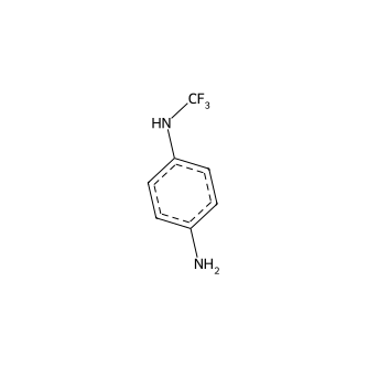 Nc1ccc(NC(F)(F)F)cc1